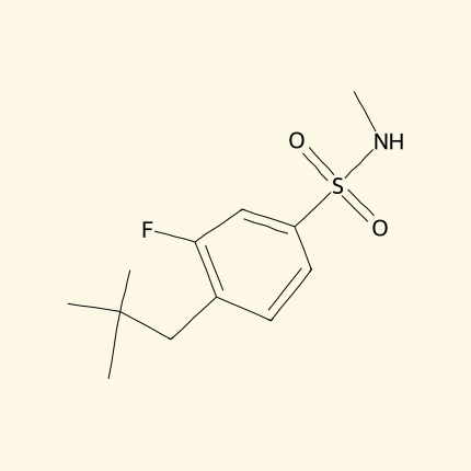 CNS(=O)(=O)c1ccc(CC(C)(C)C)c(F)c1